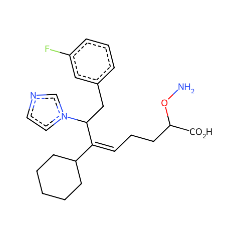 NOC(CC/C=C(/C1CCCCC1)C(Cc1cccc(F)c1)n1ccnc1)C(=O)O